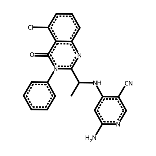 CC(Nc1cc(N)ncc1C#N)c1nc2cccc(Cl)c2c(=O)n1-c1ccccc1